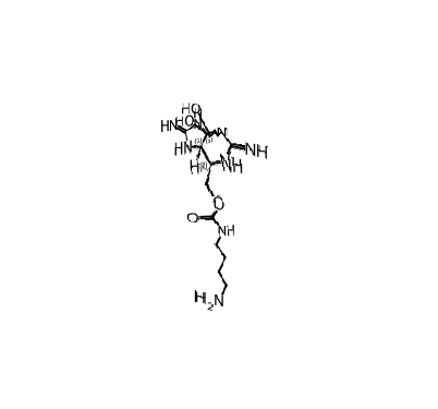 N=C1N[C@H]2[C@H](COC(=O)NCCCCN)NC(=N)N3CCC(O)(O)[C@]23N1